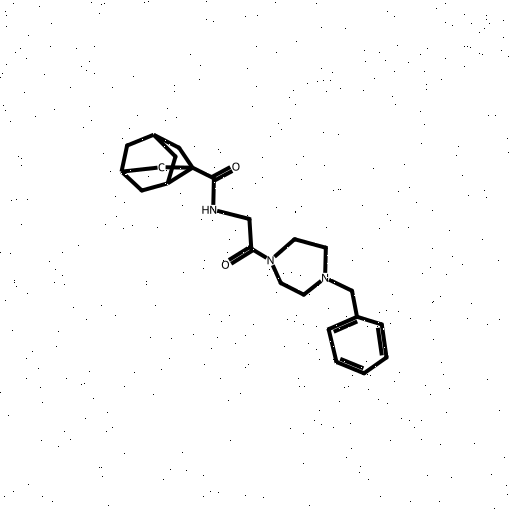 O=C(CNC(=O)C12CC3CC(CC1C3)C2)N1CCN(Cc2ccccc2)CC1